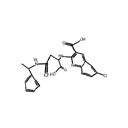 CC(NC(=O)CC(Nc1nc2ccc(Cl)cc2cc1C(=O)O)C(=O)O)c1ccccc1